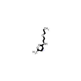 CCCOCCNC(=O)/C=C\C(C)=O